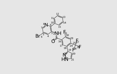 O=C(Nc1cc(Br)cnc1-c1ccccc1)c1cc(-c2cc[nH]n2)c(C(F)(F)F)cc1F